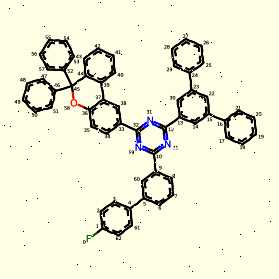 Fc1ccc(-c2cccc(-c3nc(-c4cc(-c5ccccc5)cc(-c5ccccc5)c4)nc(-c4ccc5c(c4)-c4ccccc4C(c4ccccc4)(c4ccccc4)O5)n3)c2)cc1